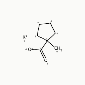 CC1(C(=O)[O-])CCCC1.[K+]